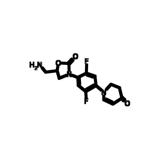 NCC1CN(c2cc(F)c(N3C=CC(=O)CC3)cc2F)C(=O)O1